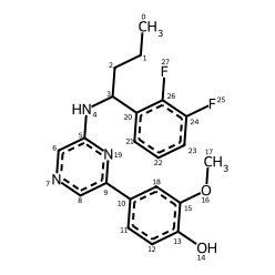 CCCC(Nc1cncc(-c2ccc(O)c(OC)c2)n1)c1cccc(F)c1F